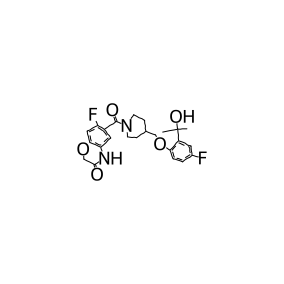 CC(C)(O)c1cc(F)ccc1OCC1CCN(C(=O)c2cc3c(cc2F)OCC(=O)N3)CC1